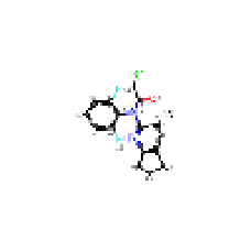 N#Cc1cc2c(nc1N(C(=O)CCl)c1c(F)cccc1F)CCC2